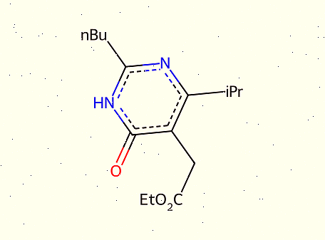 CCCCc1nc(C(C)C)c(CC(=O)OCC)c(=O)[nH]1